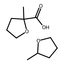 CC1(C(=O)O)CCCO1.CC1CCCO1